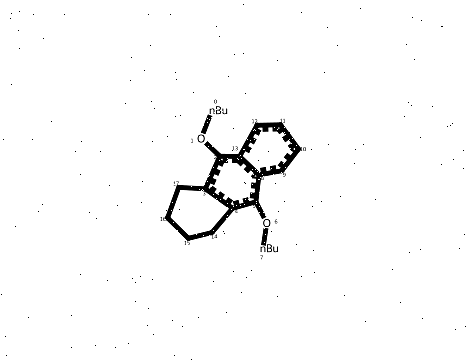 CCCCOc1c2c(c(OCCCC)c3ccccc13)CCCC2